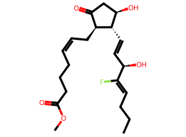 CCC/C=C(\F)[C@H](O)/C=C/[C@H]1[C@H](O)CC(=O)[C@@H]1C/C=C\CCCC(=O)OC